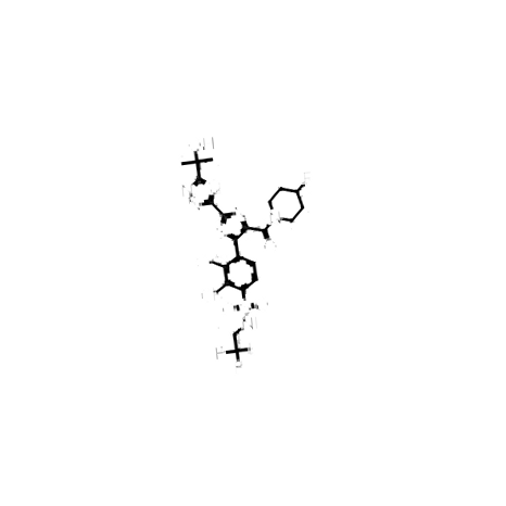 C[C@H](NS(=O)(=O)c1ccc(-c2sc(-c3nnc(C(C)(C)O)o3)nc2C(=O)N2CCC(F)CC2)c(Cl)c1Cl)C(F)(F)F